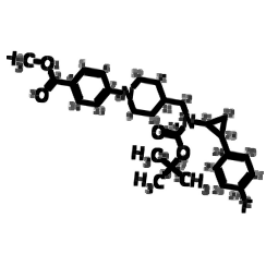 COC(=O)c1ccc(N2CCC(CN(C(=O)OC(C)(C)C)C3CC3c3ccc(F)cc3)CC2)cc1